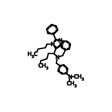 CCCCC(c1cnc(-c2ccccc2)n1CCCC)N(Cc1ccccc1)Cc1ccc(N(C)C)cc1